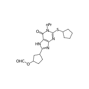 CCCn1c(SC2CCCC2)nc2nc(C3CCC(OC=O)C3)[nH]c2c1=O